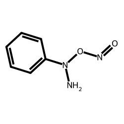 NN(ON=O)c1ccccc1